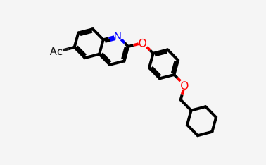 CC(=O)c1ccc2nc(Oc3ccc(OCC4CCCCC4)cc3)ccc2c1